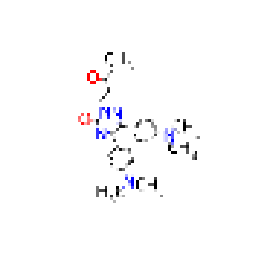 CCC(=O)CCn1nc(-c2ccc(N(C)C)cc2)c(-c2ccc(N(C)C)cc2)nc1=O